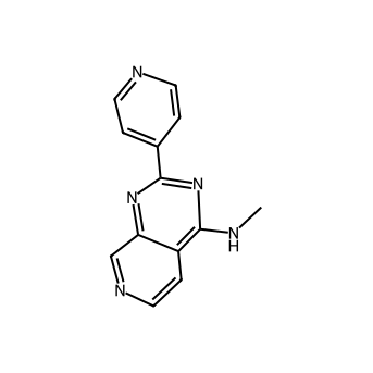 CNc1nc(-c2ccncc2)nc2cnccc12